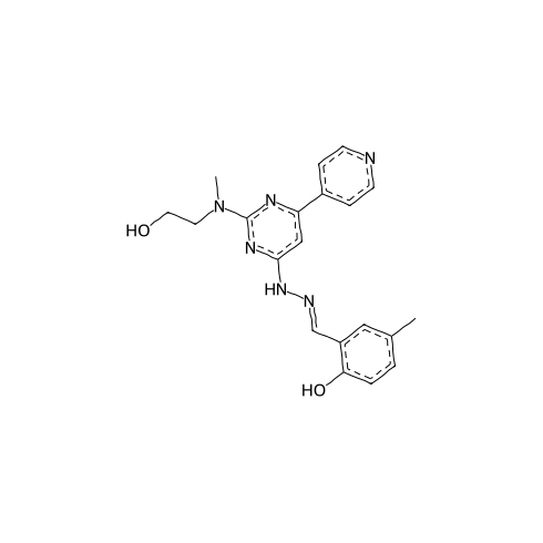 Cc1ccc(O)c(C=NNc2cc(-c3ccncc3)nc(N(C)CCO)n2)c1